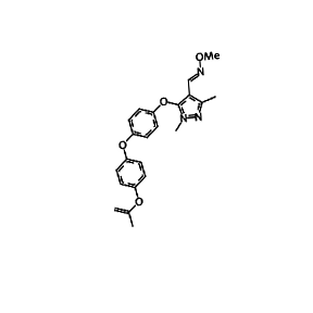 C=C(C)Oc1ccc(Oc2ccc(Oc3c(/C=N/OC)c(C)nn3C)cc2)cc1